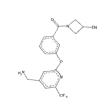 N#CC1CN(C(=O)c2cccc(Oc3cc(CN)cc(C(F)(F)F)n3)c2)C1